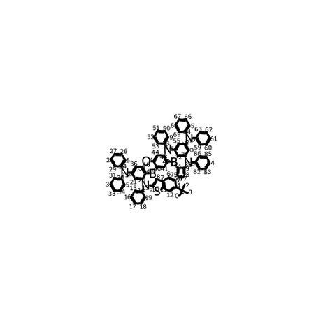 CC(C)(C)c1ccc2c3c(sc2c1)N(c1ccccc1)c1cc(N(c2ccccc2)c2ccccc2)cc2c1B3c1cc3c(cc1O2)N(c1ccccc1)c1cc(N(c2ccccc2)c2ccccc2)cc2c1B3c1ccccc1N2c1ccccc1